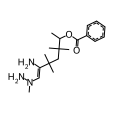 CC(OC(=O)c1ccccc1)C(C)(C)CC(C)(C)/C(N)=C/N(C)N